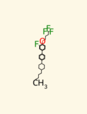 CCCCCC1CCC(c2ccc(-c3ccc(OCCCC(F)(F)F)c(F)c3)cc2)CC1